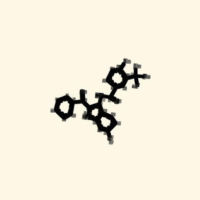 O=C(Nc1c(C(=O)c2ccccc2)[nH]c2cc(Cl)ccc12)c1ccc(F)c(C(F)(F)F)c1